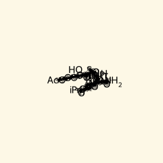 CC(=O)CCOCCOCCOCCOCCC(=O)CC[C@@H](CS(=O)(=O)O)C(=O)N[C@H](C(=O)N[C@@H](CCCNC(N)=O)C(=O)Nc1ccc(COC(=O)C(C)C)cc1)C(C)C